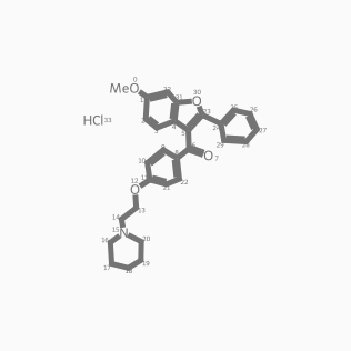 COc1ccc2c(C(=O)c3ccc(OCCN4CCCCC4)cc3)c(-c3ccccc3)oc2c1.Cl